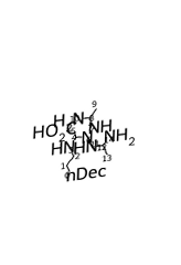 CCCCCCCCCCCCNC(C(=O)O)N(NC(C)N)NC(C)N